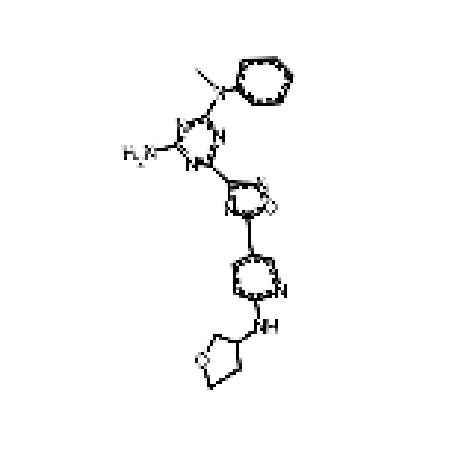 CN(c1ccccc1)c1nc(N)nc(-c2noc(-c3ccc(NC4CCOC4)nc3)n2)n1